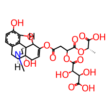 C[C@H](OC(=O)C(CC(=O)OC1=CC[C@@]2(O)[C@H]3Cc4ccc(O)c5c4[C@@]2(CCN3C)[C@H]1O5)OC(=O)[C@H](O)[C@@H](O)C(=O)O)C(=O)O